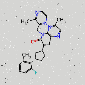 Cc1cnc2cc([C@H]3CC[C@H](c4c(C)cccc4F)C3)c(=O)n(Cc3nccnc3C)c2n1